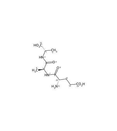 C[C@H](NC(=O)[C@H](C)NC(=O)[C@@H](N)CCC(=O)O)C(=O)O